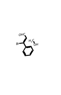 CO.O=CC=C(Br)c1ccccc1